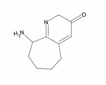 NC1CCCCC2=CC(=O)CN=C21